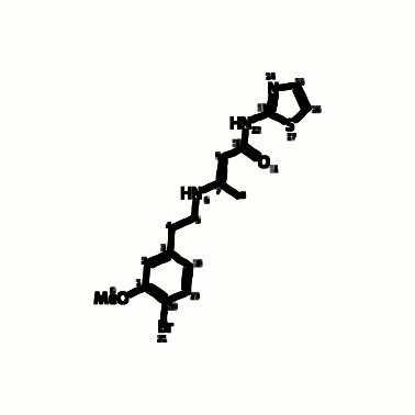 COc1cc(CCN/C(C)=C/C(=O)Nc2nccs2)ccc1Br